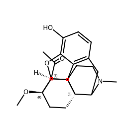 CO[C@]12CC[C@@]3(C[C@@H]1C(C)=O)C1Cc4ccc(O)c5c4C3(CCN1C)C2O5